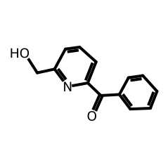 O=C(c1ccccc1)c1cccc(CO)n1